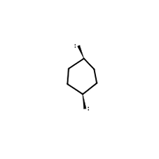 [CH][C@H]1CC[C@@H]([CH])CC1